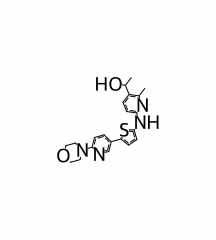 Cc1nc(Nc2ccc(-c3ccc(N4CCOCC4)nc3)s2)ccc1C(C)O